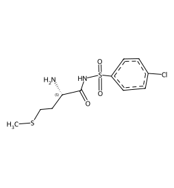 CSCC[C@H](N)C(=O)NS(=O)(=O)c1ccc(Cl)cc1